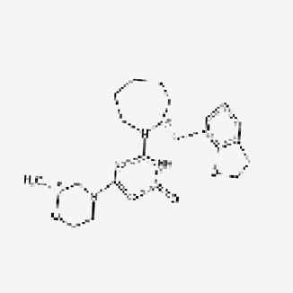 C[C@@H]1CN(c2cc(=O)[nH]c(N3CCCCC[C@@H]3Cc3cccc4c3OCC4)n2)CCO1